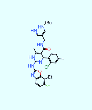 CCc1c(F)ccc2nc(NC3=NC(c4ccc(C)cc4Cl)C(C(=O)NC/C(C=N)=C/NC(C)(C)C)=C(C)N3)oc12